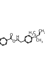 C=C[Si](C)(C)c1ccc(CNOC(=O)c2ccccc2)cc1